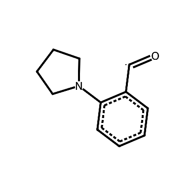 O=[C]c1ccccc1N1CCCC1